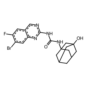 O=C(Nc1ncc2cc(F)c(Br)cc2n1)NC12CC3CC(CC(O)(C3)C1)C2